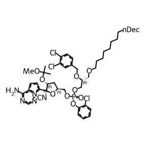 CCCCCCCCCCCCCCCCCCOC[C@H](COP(=O)(OC[C@@H]1C[C@@H](OC(C)(C)OC)[C@](C#N)(c2ccc3c(N)ncnn23)O1)Oc1ccccc1Cl)OCc1ccc(Cl)c(Cl)c1